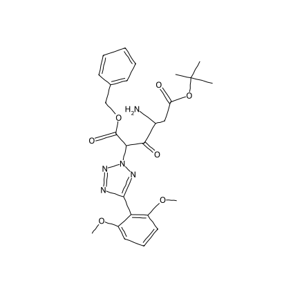 COc1cccc(OC)c1-c1nnn(C(C(=O)OCc2ccccc2)C(=O)C(N)CC(=O)OC(C)(C)C)n1